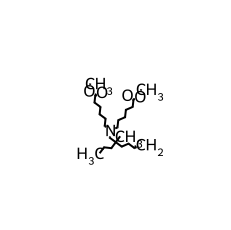 C=CCCC(C)(CCC)CN(CCCCCC(=O)OC)CCCCCC(=O)OC